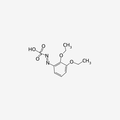 CCOc1cccc(N=NS(=O)(=O)O)c1OCC